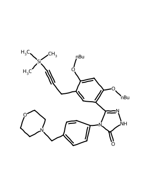 CCCCOc1cc(OCCCC)c(-c2n[nH]c(=O)n2-c2ccc(CN3CCOCC3)cc2)cc1CC#C[Si](C)(C)C